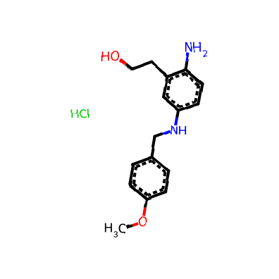 COc1ccc(CNc2ccc(N)c(CCO)c2)cc1.Cl